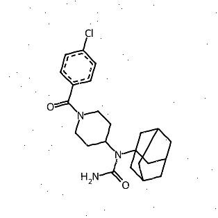 NC(=O)N(C1CCN(C(=O)c2ccc(Cl)cc2)CC1)C12CC3CC(CC(C3)C1)C2